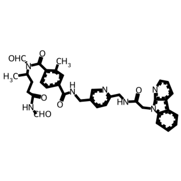 Cc1cc(C(=O)NCc2ccc(CNC(=O)Cn3c4ccccc4c4cccnc43)nc2)ccc1C(=O)N(C=O)C(C)CCC(=O)NC=O